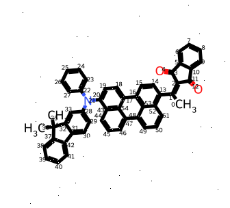 CC(=C1C(=O)c2ccccc2C1=O)c1ccc2c3ccc(N(c4ccccc4)c4ccc5c(c4)C(C)(C)c4ccccc4-5)c4cccc(c5cccc1c52)c43